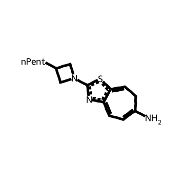 CCCCCC1CN(c2nc3c(s2)=CCC(N)=CC=3)C1